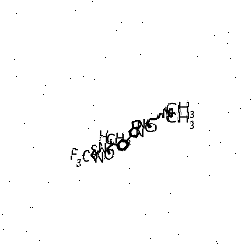 CC(C(=O)Nc1ncc(C(F)(F)F)s1)c1cccc(-c2cnc3c(c2)CCN3C(=O)C=CCN(C)C)c1